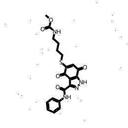 COC(=O)NCCCCSC1=CC(=O)c2[nH]nc(C(=O)Nc3ccccc3)c2C1=O